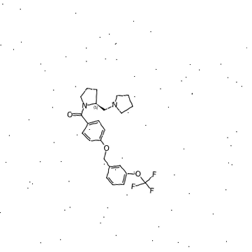 O=C(c1ccc(OCc2cccc(OC(F)(F)F)c2)cc1)N1CCC[C@H]1CN1CCCC1